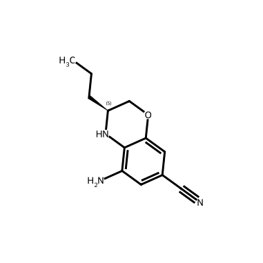 CCC[C@H]1COc2cc(C#N)cc(N)c2N1